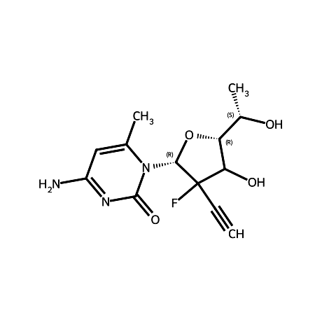 C#CC1(F)C(O)[C@@H]([C@H](C)O)O[C@H]1n1c(C)cc(N)nc1=O